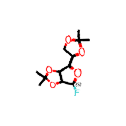 CC1(C)OCC(C2O[C@@H](F)C3OC(C)(C)OC23)O1